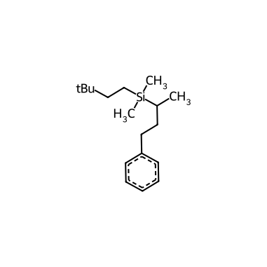 CC(CCc1ccccc1)[Si](C)(C)CCC(C)(C)C